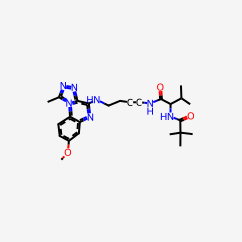 COc1ccc2c(c1)nc(NCCCCNC(=O)C(NC(=O)C(C)(C)C)C(C)C)c1nnc(C)n12